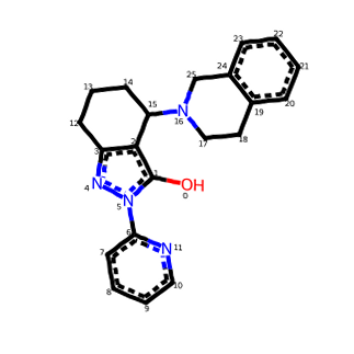 Oc1c2c(nn1-c1ccccn1)CCCC2N1CCc2ccccc2C1